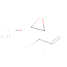 C1CO1.C=CCO.O.O=S(=O)(O)O.[NaH]